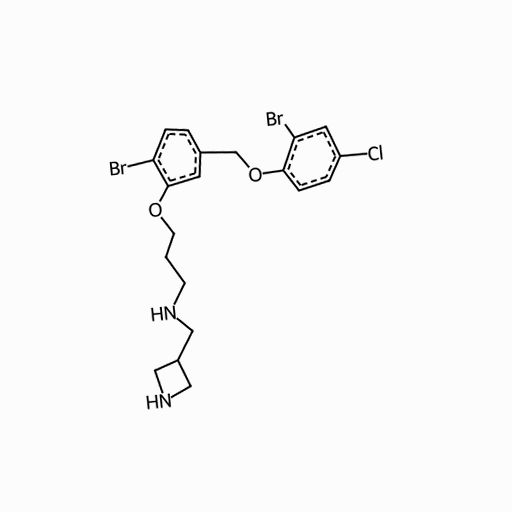 Clc1ccc(OCc2ccc(Br)c(OCCCNCC3CNC3)c2)c(Br)c1